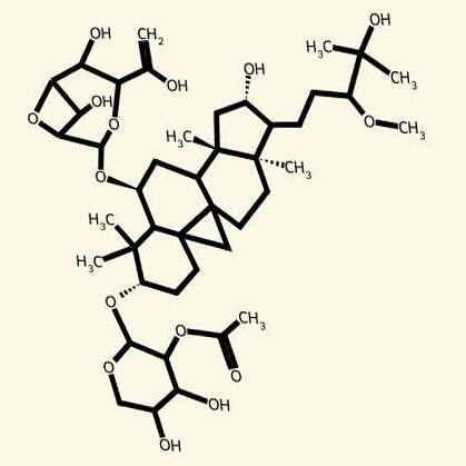 C=C(O)C1OC(O[C@H]2CC3C4(CC[C@]5(C)C(CCC(OC)C(C)(C)O)[C@@H](O)C[C@@]35C)CC43CC[C@H](OC4OCC(O)C(O)C4OC(C)=O)C(C)(C)C23)C2OC(C1O)C2O